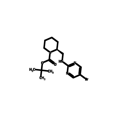 CC(C)(C)OC(=O)N1CCCC[C@H]1CNc1ncc(Br)cn1